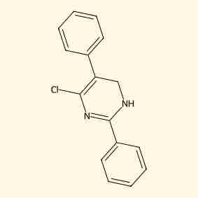 ClC1=C(c2ccccc2)CNC(c2ccccc2)=N1